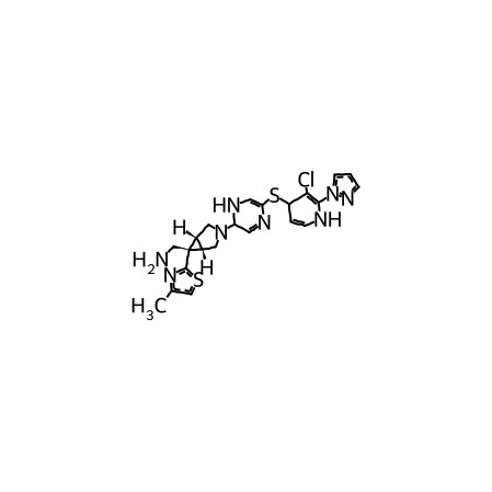 Cc1csc([C@]2(CN)[C@@H]3CN(C4C=NC(SC5C=CNC(n6cccn6)=C5Cl)=CN4)C[C@@H]32)n1